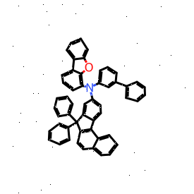 c1ccc(-c2cccc(N(c3ccc4c(c3)C(c3ccccc3)(c3ccccc3)c3ccc5ccccc5c3-4)c3cccc4c3oc3ccccc34)c2)cc1